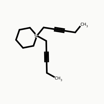 CCC#CC[Si]1(CC#CCC)CCCCC1